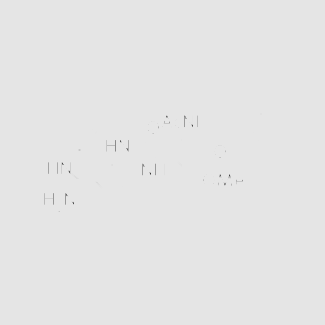 COc1cc(C(Nc2ccc(C(=N)N)cc2)C(=O)NCc2ccccc2)c(NC(C)=O)cc1OCc1ccccc1